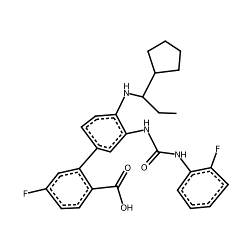 CCC(Nc1ccc(-c2cc(F)ccc2C(=O)O)cc1NC(=O)Nc1ccccc1F)C1CCCC1